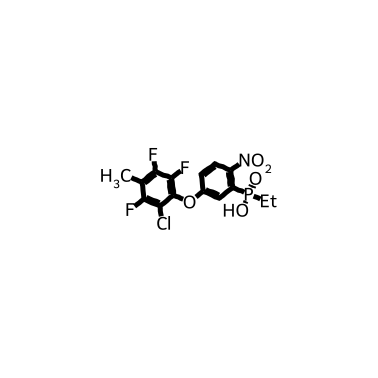 CCP(=O)(O)c1cc(Oc2c(F)c(F)c(C)c(F)c2Cl)ccc1[N+](=O)[O-]